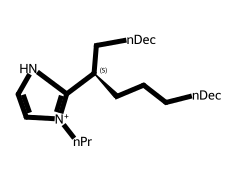 CCCCCCCCCCCCC[C@H](CCCCCCCCCCC)c1[nH]cc[n+]1CCC